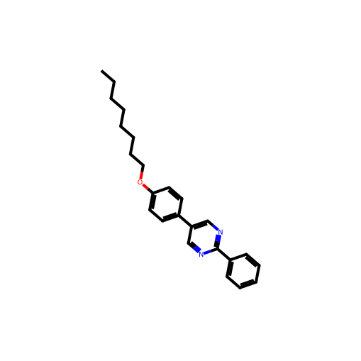 CCCCCCCCOc1ccc(-c2cnc(-c3c[c]ccc3)nc2)cc1